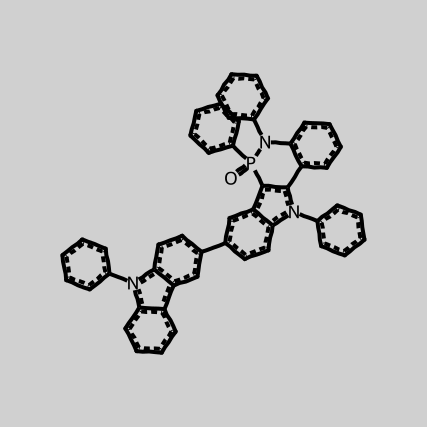 O=P1(c2ccccc2)c2c(n(-c3ccccc3)c3ccc(-c4ccc5c(c4)c4ccccc4n5-c4ccccc4)cc23)-c2ccccc2N1c1ccccc1